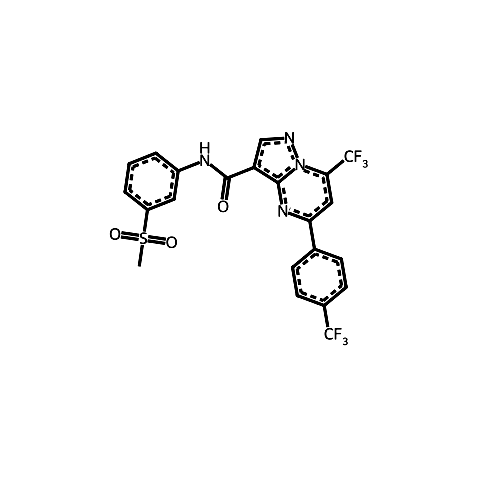 CS(=O)(=O)c1cccc(NC(=O)c2cnn3c(C(F)(F)F)cc(-c4ccc(C(F)(F)F)cc4)nc23)c1